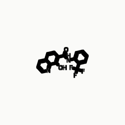 O=C(Nc1ccccc1C(F)(F)F)c1ccc2cccnc2c1O